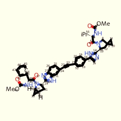 COC(=O)N[C@H](C(=O)N1CC2(CC2)C[C@H]1c1ncc(-c2ccc(C#Cc3ccc4nc([C@@H]5C[C@H]6C[C@H]6N5C(=O)[C@H](NC(=O)OC)c5ccccc5)[nH]c4c3)cc2)[nH]1)C(C)C